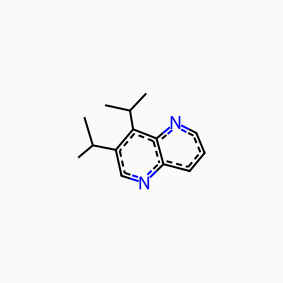 CC(C)c1cnc2cccnc2c1C(C)C